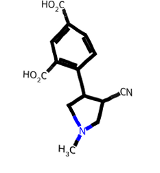 CN1CC(C#N)C(c2ccc(C(=O)O)cc2C(=O)O)C1